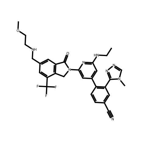 CCNc1cc(-c2ccc(C#N)cc2-c2nncn2C)cc(N2Cc3c(cc(CNCCOC)cc3C(F)(F)F)C2=O)n1